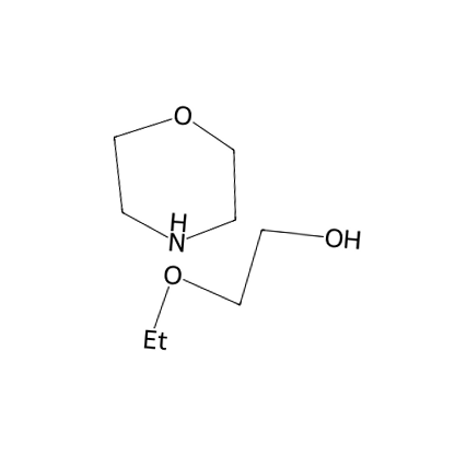 C1COCCN1.CCOCCO